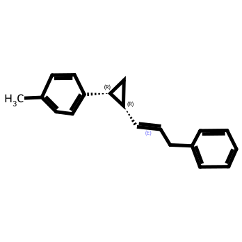 Cc1ccc([C@@H]2C[C@@H]2/C=C/Cc2ccccc2)cc1